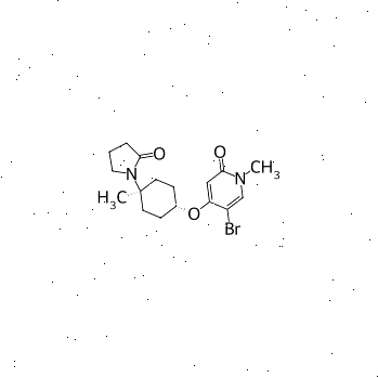 Cn1cc(Br)c(O[C@H]2CC[C@](C)(N3CCCC3=O)CC2)cc1=O